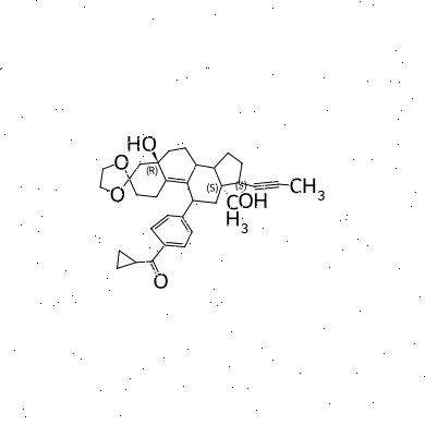 CC#C[C@]1(O)CCC2C3CC[C@@]4(O)CC5(CCC4=C3C(c3ccc(C(=O)C4CC4)cc3)C[C@@]21C)OCCO5